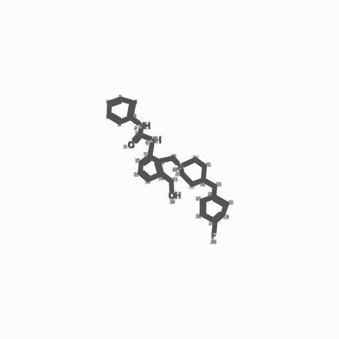 O=C(Nc1ccccc1)Nc1cccc(CO)c1CN1CCC(Cc2ccc(F)cc2)CC1